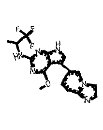 COc1nc(NC(C)C(F)(F)F)nc2[nH]cc(-c3ccc4nccn4c3)c12